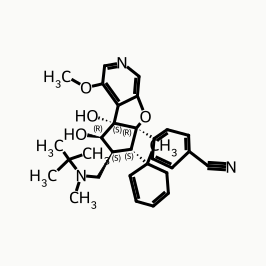 COc1cncc2c1[C@]1(O)[C@H](O)[C@H](CN(C)C(C)(C)C)[C@@H](C3(C)C=CC=CC3)[C@]1(c1ccc(C#N)cc1)O2